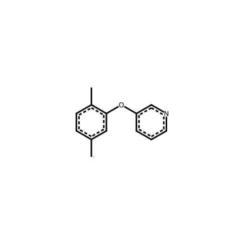 [CH2]c1ccc(C)c(Oc2cccnc2)c1